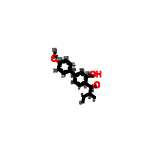 CCC(C)C(=O)c1ccc(-c2ccc(OC)cc2)cc1O